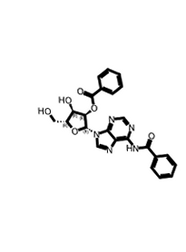 O=C(Nc1ncnc2c1ncn2[C@@H]1O[C@H](CO)[C@@H](O)[C@H]1OC(=O)c1ccccc1)c1ccccc1